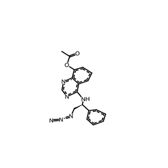 CC(=O)Oc1cccc2c(N[C@H](CN=[N+]=[N-])c3ccccc3)ncnc12